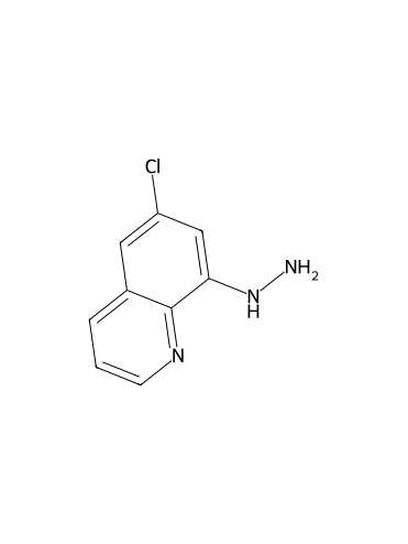 NNc1cc(Cl)cc2cccnc12